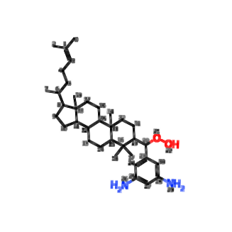 CC(C)=CCCC(C)C1CCC2C3CCC4C(C)(C)C(C(OO)c5cc(N)cc(N)c5)CCC4(C)C3CCC12C